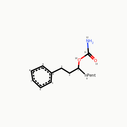 CCCCCC(CCc1ccccc1)OC(N)=O